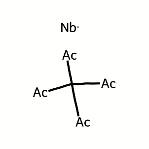 CC(=O)C(C(C)=O)(C(C)=O)C(C)=O.[Nb]